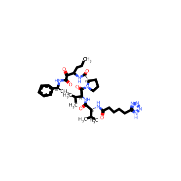 CCCC(NC(=O)[C@@H]1CCCN1C(=O)[C@@H](NC(=O)[C@H](NC(=O)CCCCc1nnn[nH]1)C(C)C)C(C)C)C(=O)C(=O)N[C@@H](C)c1ccccc1